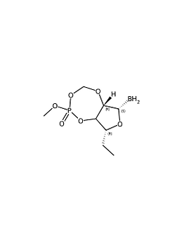 B[C@@H]1O[C@H](CC)C2OP(=O)(OC)OCO[C@@H]21